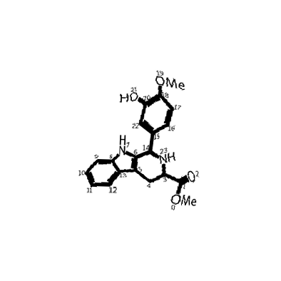 COC(=O)C1Cc2c([nH]c3ccccc23)C(c2ccc(OC)c(O)c2)N1